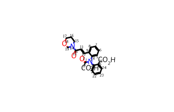 O=C(O)C(=O)N(c1ccccc1/C=C/C(=O)N1CCCOC1)c1ccccc1C(=O)O